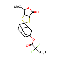 COC1OC(=O)C2SC3(SC12)C1CC2CC3CC(OC(=O)C(F)(F)S(=O)(=O)O)(C2)C1